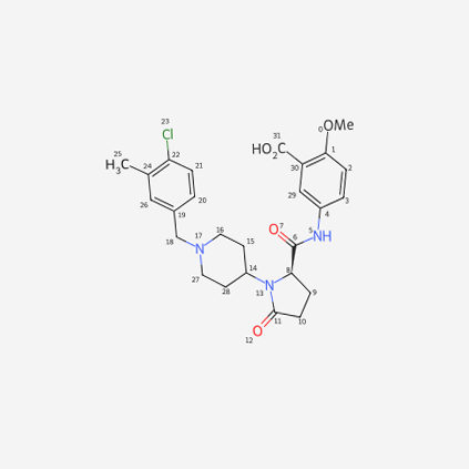 COc1ccc(NC(=O)[C@H]2CCC(=O)N2C2CCN(Cc3ccc(Cl)c(C)c3)CC2)cc1C(=O)O